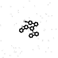 N#Cc1ccc(-c2ccccc2-c2cc(-c3ccc4sc5ccccc5c4c3)cc(-n3c4ccccc4c4ccccc43)c2)cc1